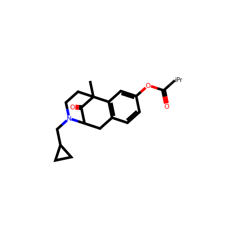 CC(C)C(=O)Oc1ccc2c(c1)C1(C)CCN(CC3CC3)C(C2)C1=O